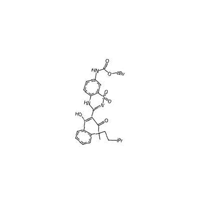 CC(C)CCC1(C)C(=O)C(C2=NS(=O)(=O)c3cc(NC(=O)OC(C)(C)C)ccc3N2)=C(O)c2ccccc21